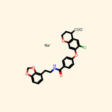 O=C(NCCc1cccc2c1OCO2)c1ccc(Oc2cc3c(cc2Cl)C(C(=O)[O-])CCO3)cc1.[Na+]